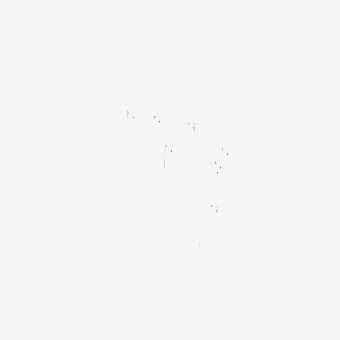 CNc1nc(Nc2cnn([C@H]3CCN(C4COC4)C3)c2C)ncc1C(F)(F)F